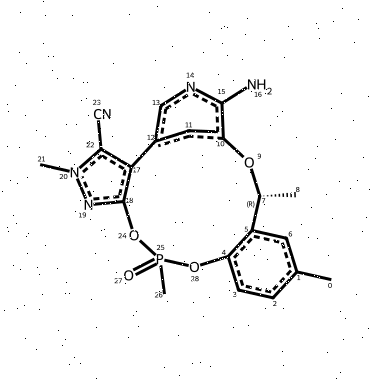 Cc1ccc2c(c1)[C@@H](C)Oc1cc(cnc1N)-c1c(nn(C)c1C#N)OP(C)(=O)O2